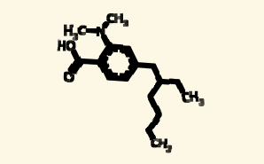 CCCCC(CC)Cc1ccc(C(=O)O)c(N(C)C)c1